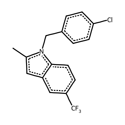 Cc1cc2cc(C(F)(F)F)ccc2n1Cc1ccc(Cl)cc1